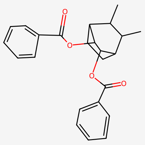 CC1C(C)C2CCC1C(OC(=O)c1ccccc1)C2OC(=O)c1ccccc1